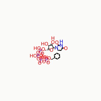 O=c1ccn([C@@H]2O[C@H](COP(=O)(O)OP(=O)(O)OP(=O)(O)OP(=O)(O)OCc3ccccc3)C(O)[C@@H]2O)c(=O)[nH]1